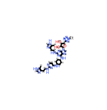 CCn1nnc([C@H]2O[C@@H](n3cnc4c(N[C@H]5CC[C@H](Nc6ccnc(NCCc7nc[nH]c7C)n6)CC5)nc(NCCc5nc[nH]c5C)nc43)[C@H](O)[C@@H]2O)n1